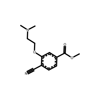 COC(=O)c1ccc(C#N)c(OCCN(C)C)c1